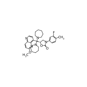 COc1ccc2nccc(C([C@H]3CN(c4ccc(C)c(F)c4)C(=O)O3)(N3CCCCCC3)N3CCCCCC3)c2n1